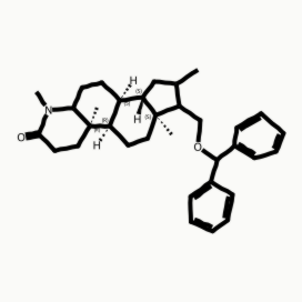 CC1C[C@H]2[C@@H]3CCC4N(C)C(=O)CC[C@]4(C)[C@@H]3CC[C@]2(C)C1COC(c1ccccc1)c1ccccc1